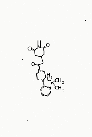 CC(C)(C)c1ccccc1N1CCN(C(=O)CC2CC(=O)NC(=O)C2)CC1